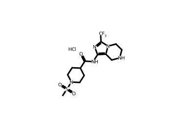 CS(=O)(=O)N1CCC(C(=O)Nc2nc(C(F)(F)F)n3c2CNCC3)CC1.Cl